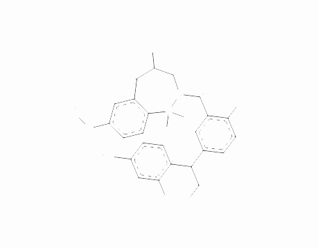 Cc1ccc(C(CC(=O)O)c2ccc(C#N)cc2C)cc1CN1CC(C)Cc2cc(OC(F)(F)F)ccc2S1(O)O